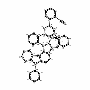 N#Cc1ccccc1-c1nc(-c2ccccc2)cc(-c2ccccc2-n2c3ncccc3c3ccc4c(c5ccccc5n4-c4ccccc4)c32)n1